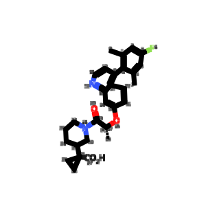 Cc1cc(F)cc(C)c1-c1ccnc2cc(O[C@H](C)C(=O)N3CCCC(C4(C(=O)O)CC4)C3)ccc12